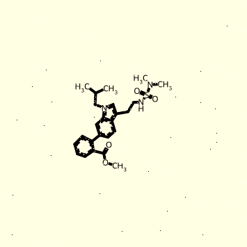 COC(=O)c1ccccc1-c1ccc2c(CCNS(=O)(=O)N(C)C)cn(CC(C)C)c2c1